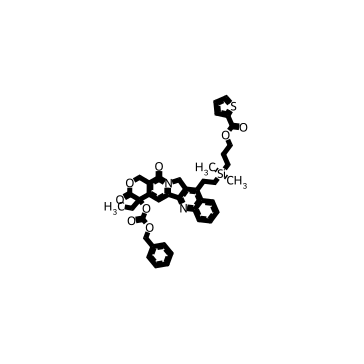 CCC1(OC(=O)OCc2ccccc2)C(=O)OCc2c1cc1n(c2=O)Cc2c-1nc1ccccc1c2CC[Si](C)(C)CCCOC(=O)c1cccs1